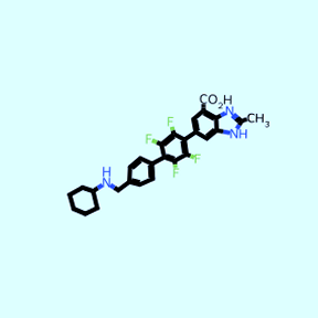 Cc1nc2c(C(=O)O)cc(-c3c(F)c(F)c(-c4ccc(CNC5CCCCC5)cc4)c(F)c3F)cc2[nH]1